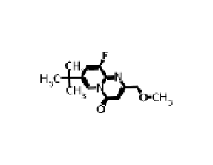 COCc1cc(=O)n2cc(C(C)(C)C)cc(F)c2n1